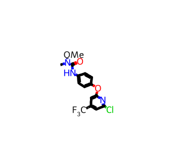 CON(C)C(=O)Nc1ccc(Oc2cc(C(F)(F)F)cc(Cl)n2)cc1